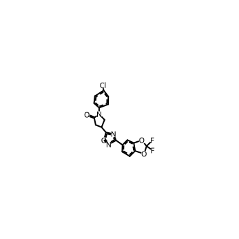 O=C1CC(c2nc(-c3ccc4c(c3)OC(F)(F)O4)no2)CN1c1ccc(Cl)cc1